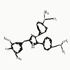 COc1cc(-c2nc(-c3ccc(N(C)C)cc3)c(-c3ccc(N(C)C)cc3)[nH]2)cc(OC)c1OC(C)=O